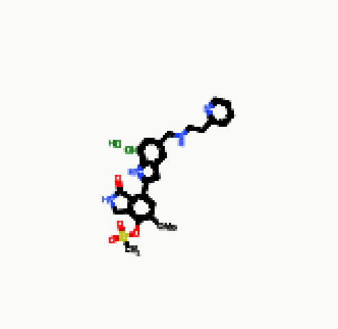 COc1cc(-c2cc3cc(CNCCc4ccccn4)ccc3[nH]2)c2c(c1OS(C)(=O)=O)CNC2=O.Cl.Cl